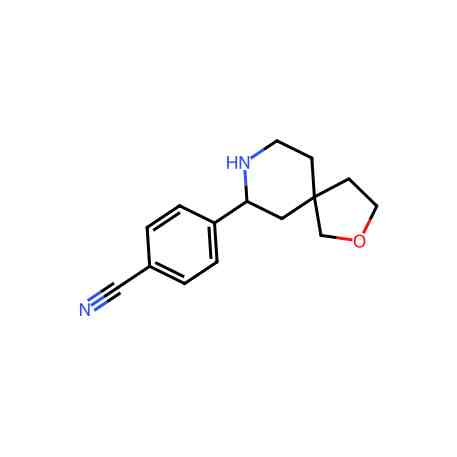 N#Cc1ccc(C2CC3(CCN2)CCOC3)cc1